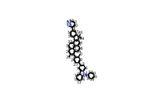 Cc1cc(-c2ccc3c(c2)c2ccccc2n3-c2ccccc2)ccc1-c1c(C)cc2ccc3c4c(cc5ccc1c2c53)C(C)(C)c1cc(-c2cccnc2)ccc1-4